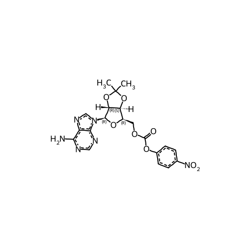 CC1(C)O[C@@H]2[C@@H](O1)[C@@H](COC(=O)Oc1ccc([N+](=O)[O-])cc1)O[C@H]2n1cnc2c(N)ncnc21